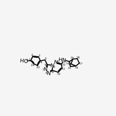 Oc1ccc(Cc2nnc3ccc(NC4CC5CCC4C5)nn23)cc1